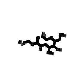 CC(=O)OCC(OCN)[C@@H](O)[C@@H](CNC(=O)OCC(Cl)(Cl)Cl)OC(C)=O